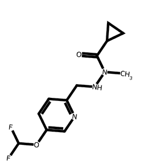 CN(NCc1ccc(OC(F)F)cn1)C(=O)C1CC1